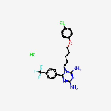 Cl.NC1=NC(c2ccc(C(F)(F)F)cc2)N(CCCCCOc2ccc(Cl)cc2)C(N)=N1